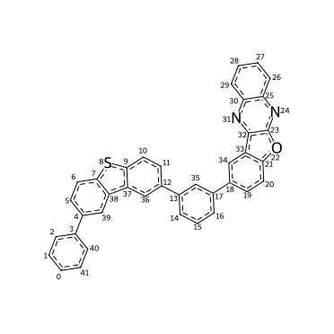 c1ccc(-c2ccc3sc4ccc(-c5cccc(-c6ccc7oc8nc9ccccc9nc8c7c6)c5)cc4c3c2)cc1